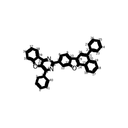 C1=CCC(c2nc(-c3ccc4c(c3)oc3c5ccccc5c(-c5ccccc5)cc43)nc3c2oc2ccccc23)C=C1